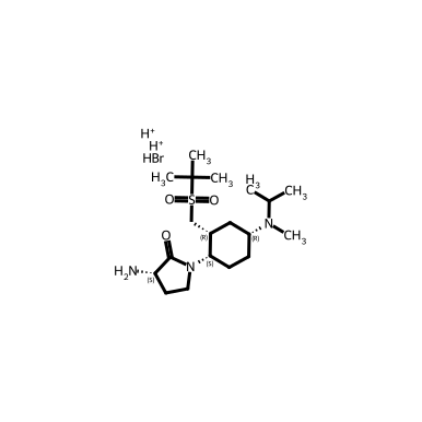 Br.CC(C)N(C)[C@@H]1CC[C@H](N2CC[C@H](N)C2=O)[C@H](CS(=O)(=O)C(C)(C)C)C1.[H+].[H+]